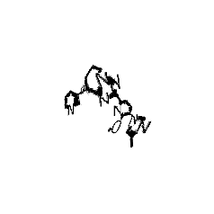 COc1nc(-c2nc3n(n2)CCC[C@@H]3c2cccnc2)ccc1-n1cnc(C)c1